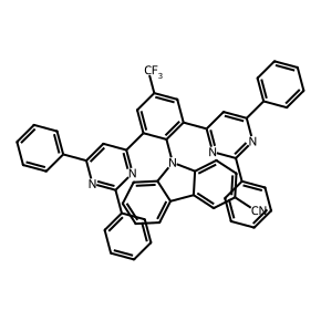 N#Cc1ccc2c(c1)c1ccccc1n2-c1c(-c2cc(-c3ccccc3)nc(-c3ccccc3)n2)cc(C(F)(F)F)cc1-c1cc(-c2ccccc2)nc(-c2ccccc2)n1